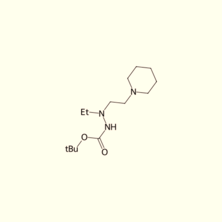 CCN(CCN1CCCCC1)NC(=O)OC(C)(C)C